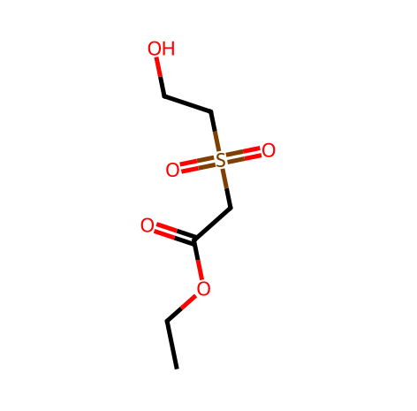 CCOC(=O)CS(=O)(=O)CCO